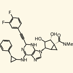 CNC(=O)[C@]12CC1[C@@H](n1cnc3c1NC(C#Cc1ccc(F)c(F)c1)N=C3NC1C[C@H]1c1ccccc1)C(O)[C@@H]2O